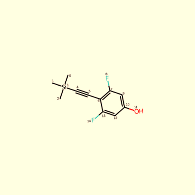 C[Si](C)(C)C#Cc1c(F)cc(O)cc1F